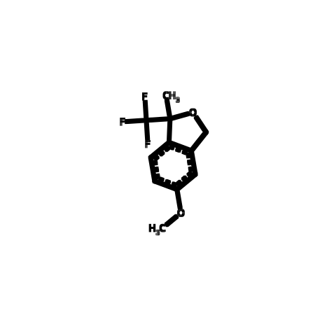 COc1ccc2c(c1)COC2(C)C(F)(F)F